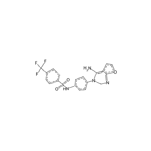 NC1=c2ccoc2=NCN1c1ccc(NS(=O)(=O)c2ccc(C(F)(F)F)cc2)cc1